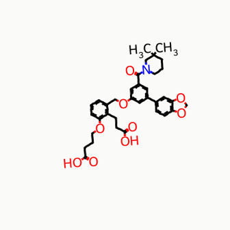 CC1(C)CCCN(C(=O)c2cc(OCc3cccc(OCCCC(=O)O)c3CCC(=O)O)cc(-c3ccc4c(c3)OCO4)c2)C1